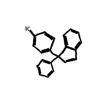 N#Cc1ccc(C2(c3ccccc3)C=Cc3ccccc32)cc1